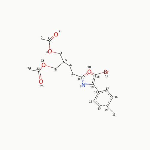 CC(=O)OCC(CCc1nc(-c2ccc(C)cc2)c(Br)o1)COC(C)=O